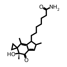 CC1=C2C(=CC(C)C2CCCCCCC(N)=O)C(=O)[C@](C)(O)C12CC2